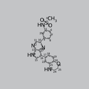 CS(=O)(=O)Nc1cccc(-c2cnc3[nH]cc(-c4ccc5c(c4)NCCO5)c3n2)c1